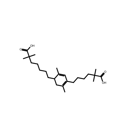 CC1=CC(CCCCC(C)(C)C(=O)O)=C(C)CC1CCCCCC(C)(C)C(=O)O